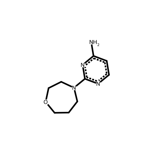 Nc1ccnc(N2CCCOCC2)n1